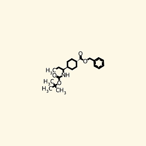 CCC(NC(=O)OC(C)(C)C)[C@H]1CC[C@H](C(=O)OCc2ccccc2)CC1